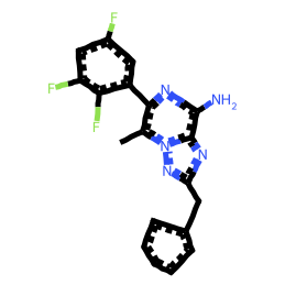 Cc1c(-c2cc(F)cc(F)c2F)nc(N)c2nc(Cc3ccccc3)nn12